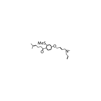 C=CCN(C)CC=CCOc1ccc(C(=O)CCC=C(C)C)c(SC)c1